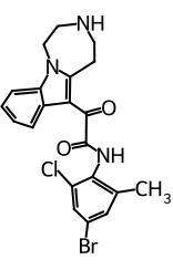 Cc1cc(Br)cc(Cl)c1NC(=O)C(=O)c1c2n(c3ccccc13)CCNCC2